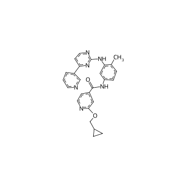 Cc1ccc(NC(=O)c2ccnc(OCC3CC3)c2)cc1Nc1nccc(-c2cccnc2)n1